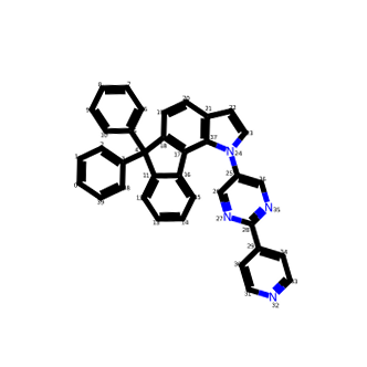 c1ccc(C2(c3ccccc3)c3ccccc3-c3c2ccc2ccn(-c4cnc(-c5ccncc5)nc4)c32)cc1